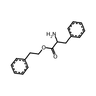 NC(Cc1ccccc1)C(=O)OCCc1ccccc1